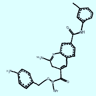 CCCN(OCc1ccc(N)cc1)C(=O)C1=Cc2ccc(C(=O)Nc3cccc(C)c3)cc2N=C(N)C1